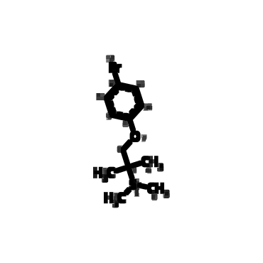 C[Si](C)C(C)(C)COc1ccc(Br)cc1